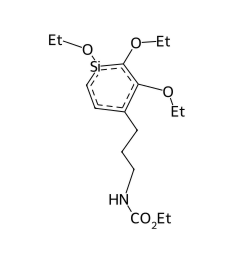 CCOC(=O)NCCCc1cc[si](OCC)c(OCC)c1OCC